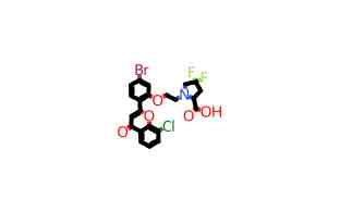 O=C(O)C1CC(F)(F)CN1CCOc1cc(Br)ccc1-c1cc(=O)c2cccc(Cl)c2o1